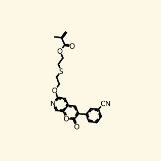 C=C(C)C(=O)OCCSCCOc1cc2cc(-c3cccc(C#N)c3)c(=O)oc2cn1